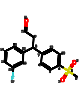 CS(=O)(=O)c1ccc(C(CC=O)c2cccc(F)c2)cc1